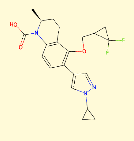 C[C@H]1CCc2c(ccc(-c3cnn(C4CC4)c3)c2OCC2CC2(F)F)N1C(=O)O